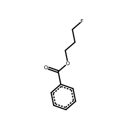 O=C(OCCCF)c1ccccc1